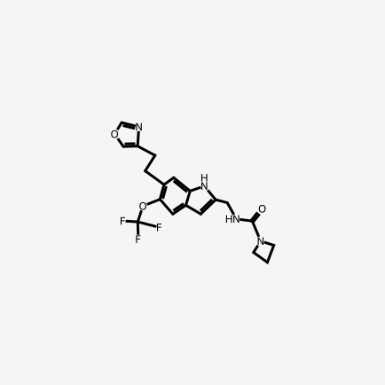 O=C(NCc1cc2cc(OC(F)(F)F)c(CCc3cocn3)cc2[nH]1)N1CCC1